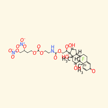 C[C@]12C=CC(=O)C=C1CC[C@H]1[C@@H]3C[C@@H](O)[C@](O)(C(=O)COC(=O)NCCOC(=O)OCCC(CO[N+](=O)[O-])O[N+](=O)[O-])[C@@]3(C)C[C@H](O)[C@@]12F